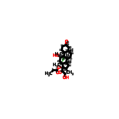 CCC(=O)O[C@]1(C(=O)CO)[C@@H](C)C[C@H]2[C@@H]3CC[C@@H]4CC(=O)CC[C@]4(C)[C@@]3(F)[C@@H](O)C[C@@]21C